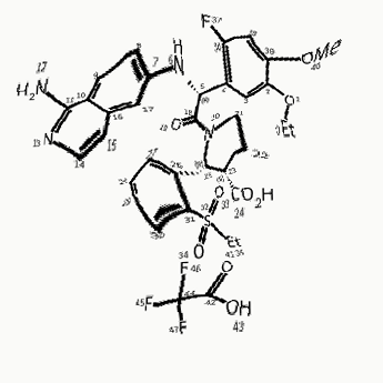 CCOc1cc([C@@H](Nc2ccc3c(N)nccc3c2)C(=O)N2CC[C@H](C(=O)O)[C@@H]2c2ccccc2S(=O)(=O)CC)c(F)cc1OC.O=C(O)C(F)(F)F